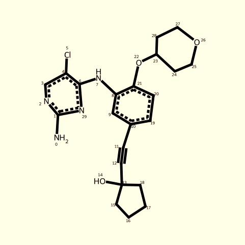 Nc1ncc(Cl)c(Nc2cc(C#CC3(O)CCCC3)ccc2OC2CCOCC2)n1